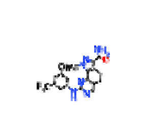 COc1cc(Nc2ncc3c(n2)-c2c(c(C(N)=O)nn2C)CC3)cc(C(F)(F)F)c1